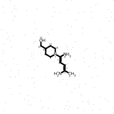 C/C(N)=C/C=C(\N)N1CCC(CO)CC1